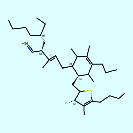 CCCCC1=C(C)[C@H](C)C(C[C@@H]2C(C)C(CCC)=C(C)C(C)[C@@H]2C/C=C(\C)[C@@H](C=N)C[C@@H](CC)CCCC)S1